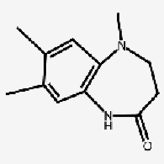 Cc1cc2c(cc1C)N(C)CCC(=O)N2